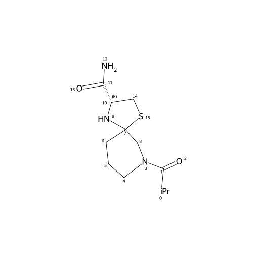 CC(C)C(=O)N1CCCC2(C1)N[C@H](C(N)=O)CS2